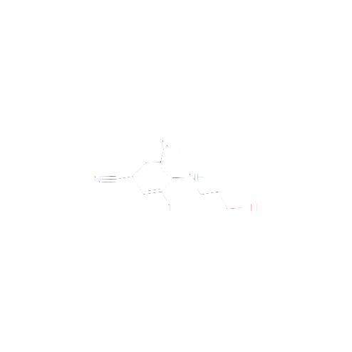 N#Cc1cc(N)c(NCCCO)c(I)c1